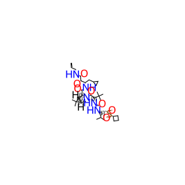 C=CCNC(=O)C(=O)C(CC1CC1)NC(=O)[C@@H]1[C@@H]2[C@H](CN1C(=O)[C@@H](NC(=O)N[C@H](CS(=O)(=O)C1CCC1)C(C)C)C(C)(C)C)C2(C)C